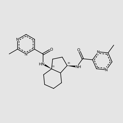 Cc1cncc(C(=O)N[C@@H]2CC[C@@]3(NC(=O)c4ccnc(C)n4)CCCCC23)n1